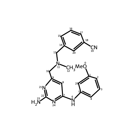 COc1cccc(Nc2cc(CN(C)Cc3cccc(C#N)c3)nc(N)n2)c1